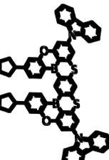 c1ccc2c(c1)c1ccccc1n2-c1cc2c3c(c1)Sc1cc4c(cc1B3c1ccc(C3CCCC3)cc1O2)B1c2ccc(C3CCCC3)cc2Oc2cc(-n3c5ccccc5c5ccccc53)cc(c21)S4